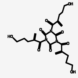 C=C(CCCO)C(=O)n1c(=O)n(C(=O)C(=C)CCCO)c(=O)n(C(=O)C(=C)CCCO)c1=O